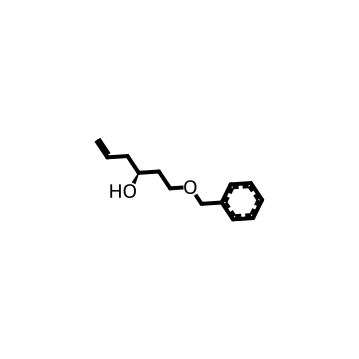 C=CC[C@H](O)CCOCc1ccccc1